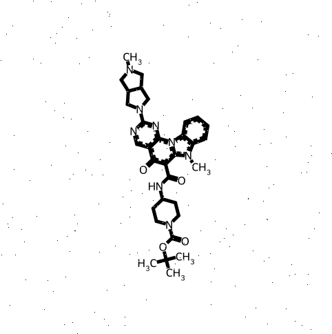 CN1CC2CN(c3ncc4c(=O)c(C(=O)NC5CCN(C(=O)OC(C)(C)C)CC5)c5n(C)c6ccccc6n5c4n3)CC2C1